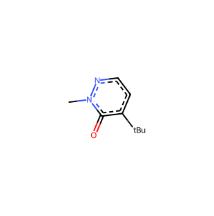 Cn1nccc(C(C)(C)C)c1=O